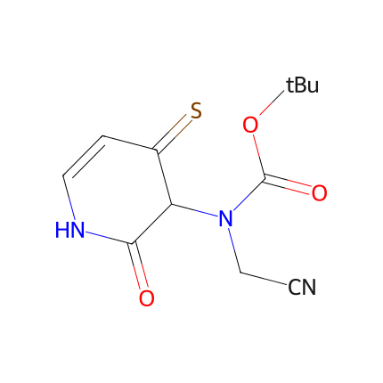 CC(C)(C)OC(=O)N(CC#N)C1C(=O)NC=CC1=S